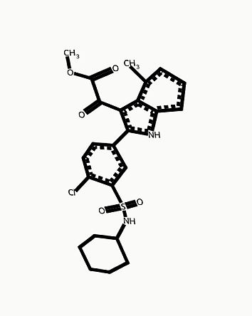 COC(=O)C(=O)c1c(-c2ccc(Cl)c(S(=O)(=O)NC3CCCCC3)c2)[nH]c2cccc(C)c12